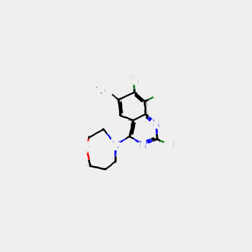 N#Cc1cc2c(N3CCCOCC3)nc(Cl)nc2c(F)c1Br